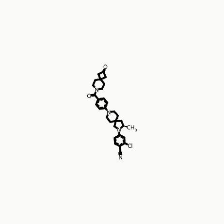 C[C@@H]1CC2(CCN(c3ccc(C(=O)N4CCC5(CC4)CC(=O)C5)cc3)CC2)CN1c1ccc(C#N)c(Cl)c1